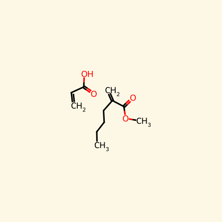 C=C(CCCC)C(=O)OC.C=CC(=O)O